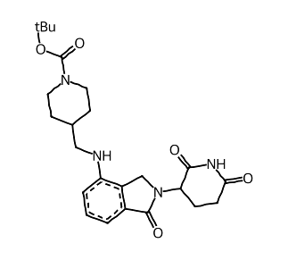 CC(C)(C)OC(=O)N1CCC(CNc2cccc3c2CN(C2CCC(=O)NC2=O)C3=O)CC1